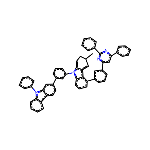 CC1C=c2c(n(-c3cccc(-c4ccc5c6ccccc6n(-c6ccccc6)c5c4)c3)c3cccc(-c4cccc(-c5cc(-c6ccccc6)nc(-c6ccccc6)n5)c4)c23)=CC1